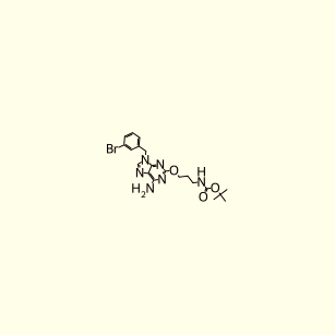 CC(C)(C)OC(=O)NCCCOc1nc(N)c2ncn(Cc3cccc(Br)c3)c2n1